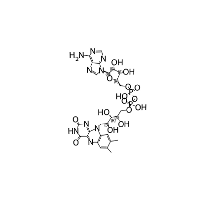 Cc1cc2nc3c(=O)[nH]c(=O)nc-3n(C[C@H](O)[C@@H](O)[C@@H](O)COP(=O)(O)OP(=O)(O)OC[C@H]3O[C@@H](n4cnc5c(N)ncnc54)[C@H](O)[C@@H]3O)c2cc1C